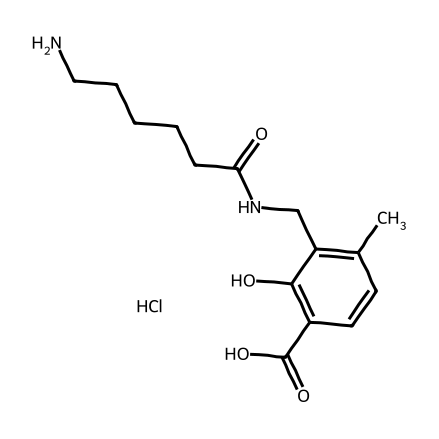 Cc1ccc(C(=O)O)c(O)c1CNC(=O)CCCCCN.Cl